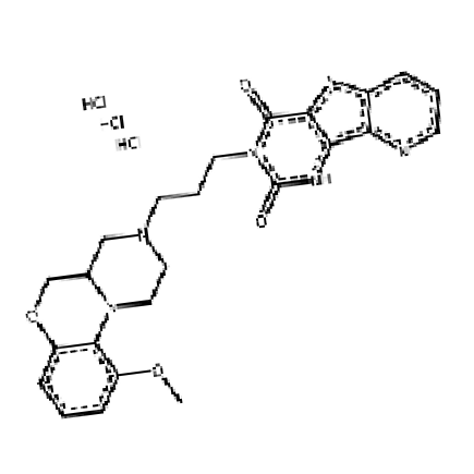 COc1cccc2c1N1CCN(CCCn3c(=O)[nH]c4c(sc5cccnc54)c3=O)CC1CO2.Cl.Cl.Cl